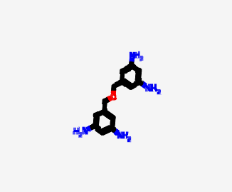 Nc1cc(N)cc(COCc2cc(N)cc(N)c2)c1